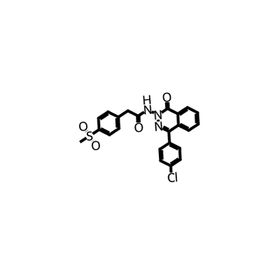 CS(=O)(=O)c1ccc(CC(=O)Nn2nc(-c3ccc(Cl)cc3)c3ccccc3c2=O)cc1